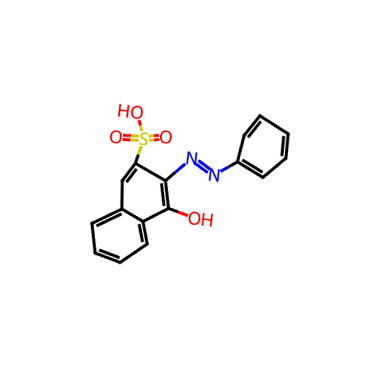 O=S(=O)(O)c1cc2ccccc2c(O)c1N=Nc1ccccc1